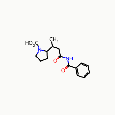 CC(CC(=O)NC(=O)c1ccccc1)C1CCCN1C(=O)O